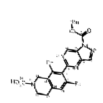 CC(C)(C)OC(=O)n1ncc2nc(-c3c(F)cc4c(c3F)CN(C(=O)O)CC4)ncc21